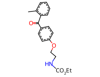 CCOC(=O)NCCOc1ccc(C(=O)c2ccccc2C)cc1